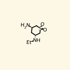 CCN[C@@H]1C[C@@H](N)CS(=O)(=O)C1